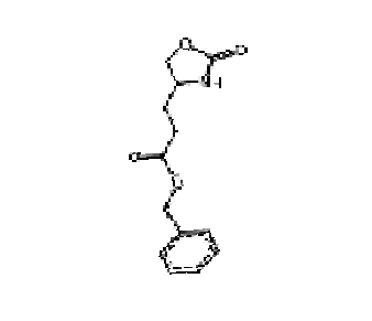 O=C(CCC1COC(=O)N1)OCc1ccccc1